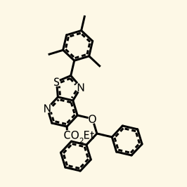 CCOC(=O)c1cnc2sc(-c3c(C)cc(C)cc3C)nc2c1OC(c1ccccc1)c1ccccc1